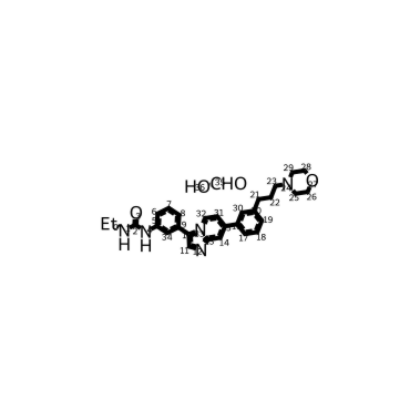 CCNC(=O)Nc1cccc(-c2cnc3cc(-c4cccc(CCCN5CCOCC5)c4)ccn23)c1.O=CO